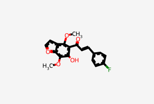 COc1c(C(=O)C=Cc2ccc(F)cc2)c(O)c(OC)c2occc12